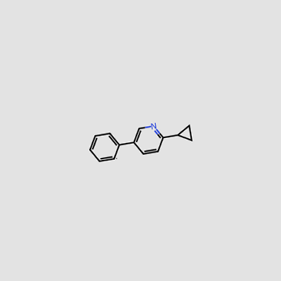 [c]1ccccc1-c1ccc(C2CC2)nc1